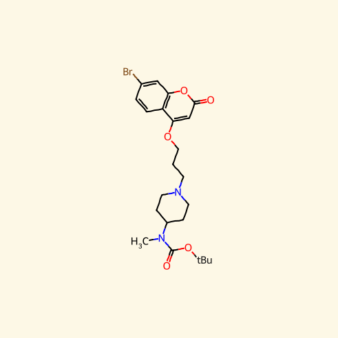 CN(C(=O)OC(C)(C)C)C1CCN(CCCOc2cc(=O)oc3cc(Br)ccc23)CC1